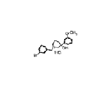 COc1cccc(C2(O)CCCN(Cc3cccc(Br)c3)C2)c1.Cl